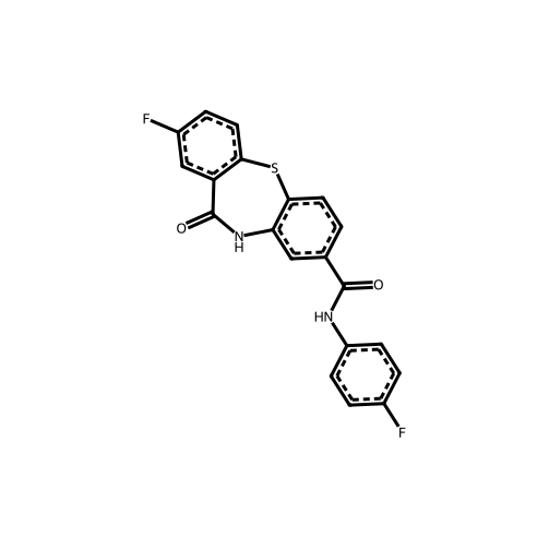 O=C(Nc1ccc(F)cc1)c1ccc2c(c1)NC(=O)c1cc(F)ccc1S2